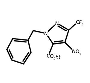 CCOC(=O)c1c([N+](=O)[O-])c(C(F)(F)F)nn1Cc1ccccc1